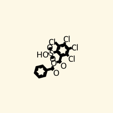 O=C(OC(=O)c1c(Cl)c(Cl)c(Cl)c(Cl)c1S(=O)(=O)O)c1ccccc1